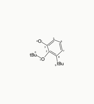 CC(C)(C)Oc1c([O])cccc1C(C)(C)C